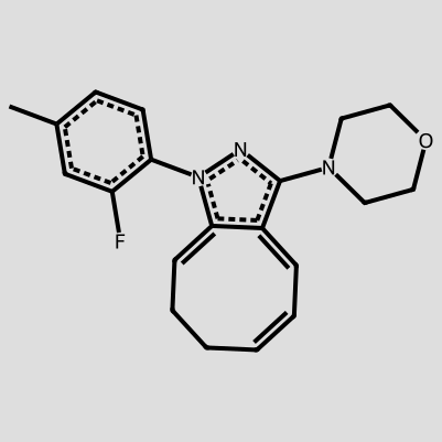 Cc1ccc(-n2nc(N3CCOCC3)c3/c2=C\CC/C=C\C=3)c(F)c1